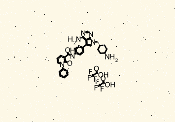 Nc1ncnc2c1c(-c1ccc(NC(=O)c3cccn(-c4ccccc4)c3=O)cc1)cn2C[C@H]1CC[C@@H](N)CC1.O=C(O)C(F)(F)F.O=C(O)C(F)(F)F